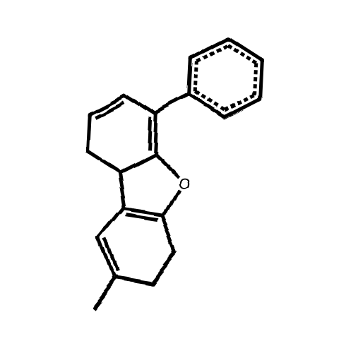 CC1=CC2=C(CC1)OC1=C(c3ccccc3)C=CCC21